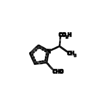 CC(C(=O)O)n1cccc1C=O